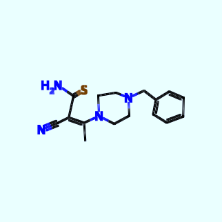 C/C(=C(\C#N)C(N)=S)N1CCN(Cc2ccccc2)CC1